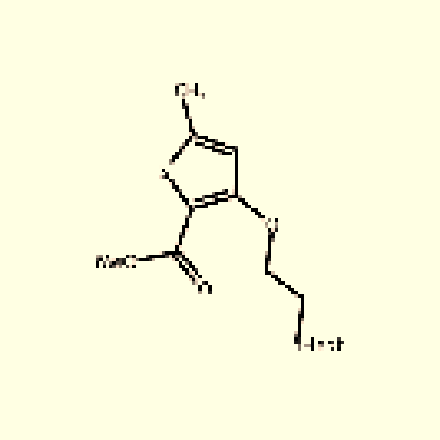 CCCCCCCCCOc1cc(C)sc1C(=O)OC